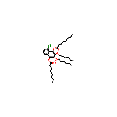 CCCCCCCC(=O)Oc1c(OCCCCCC)c(OCCCCCC)c(OC(=O)CCCCCCC)c2c(Cl)cccc12